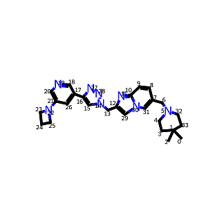 CC1(C)CCN(Cc2ccc3nc(Cn4cc(-c5cncc(N6CCC6)c5)nn4)cn3c2)CC1